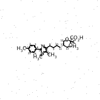 Cc1ccc(-c2nc(CCCC[C@H]3CO[C@@](C)(C(=O)O)OC3)c(C)n2C)cc1